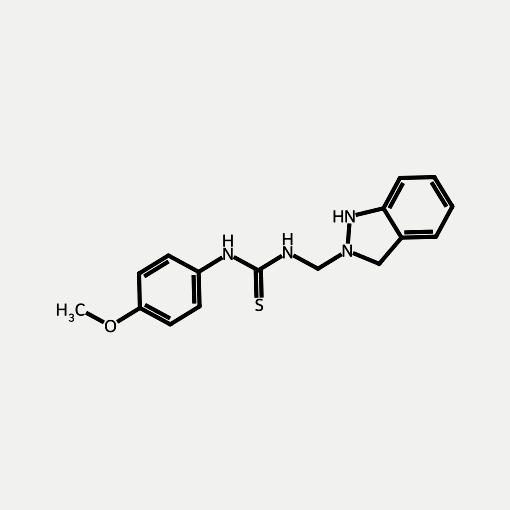 COc1ccc(NC(=S)NCN2Cc3ccccc3N2)cc1